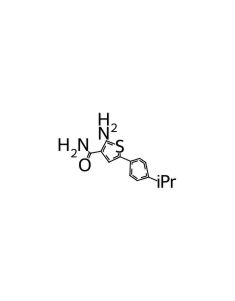 CC(C)c1ccc(-c2cc(C(N)=O)c(N)s2)cc1